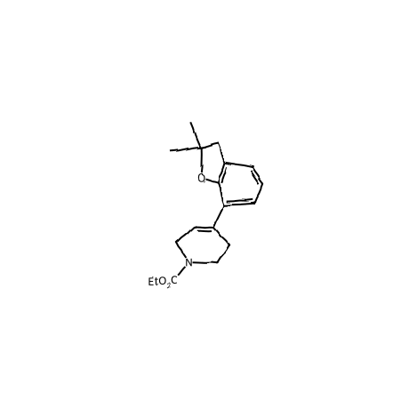 CCOC(=O)N1CC=C(c2cccc3c2OC(C)(C)C3)CC1